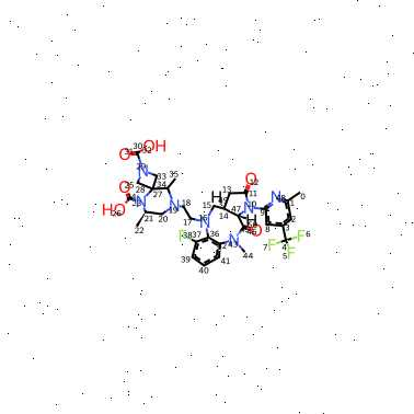 Cc1cc(C(F)(F)F)cc(N2C(=O)C[C@@H]3CN(CCN4C[C@@H](C)N(C(=O)O)C5(CN(C(=O)O)C5)C4C)c4c(F)cccc4N(C)C(=O)[C@H]32)n1